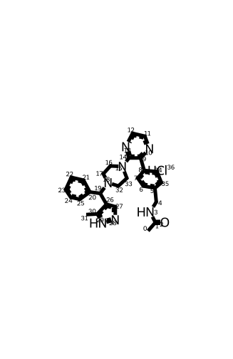 CC(=O)NCc1ccc(-c2nccnc2N2CCN(C(c3ccccc3)c3cn[nH]c3C)CC2)cc1.Cl